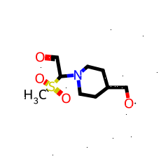 CS(=O)(=O)C(C=O)N1CCC(C[O])CC1